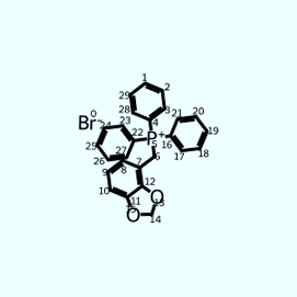 [Br-].c1ccc([P+](Cc2cccc3c2OCO3)(c2ccccc2)c2ccccc2)cc1